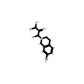 O=C(C(F)F)C(F)N1CCc2ccc(Br)cc2C1